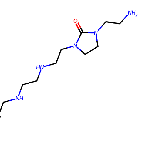 N#CCNCCNCCN1CCN(CCN)C1=O